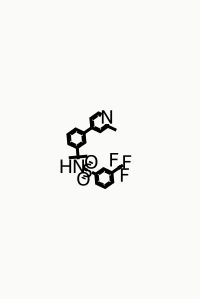 Cc1cc(-c2cccc(C(C)(C)NS(=O)(=O)c3cccc(C(F)(F)F)c3)c2)ccn1